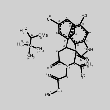 C=C(CC)[C@H]1N(CC(=O)OC(C)(C)C)C(=S)C[C@@H](c2cccc(Cl)c2)[C@]12C(=O)Nc1cc(Cl)ccc12.COC(C)[Si](C)(C)C